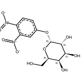 O=[N+]([O-])c1ccc(O[C@H]2O[C@H](CO)[C@H](O)[C@H](O)[C@H]2O)cc1[N+](=O)[O-]